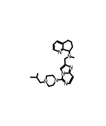 CC(C)CN1CCN(c2nccc3nc(CN(C)C4CCCc5cccnc54)cn23)CC1